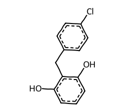 Oc1cccc(O)c1Cc1ccc(Cl)cc1